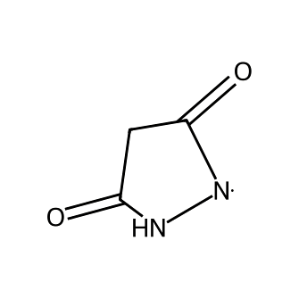 O=C1CC(=O)N[N]1